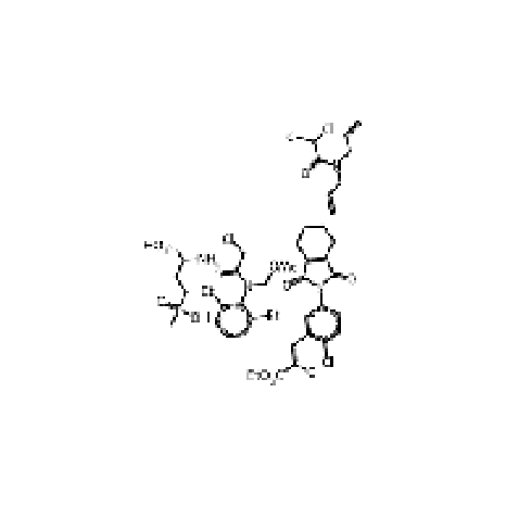 C=CCN(CC=C)C(=O)C(Cl)Cl.CCOC(=O)/C(Cl)=C/c1cc(N2C(=O)C3=C(CCCC3)C2=O)ccc1Cl.CCc1cccc(CC)c1N(COC)C(=O)CCl.CP(=O)(O)CCC(N)C(=O)O